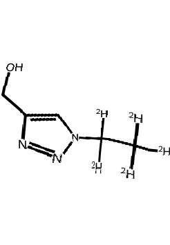 [2H]C([2H])([2H])C([2H])([2H])n1cc(CO)nn1